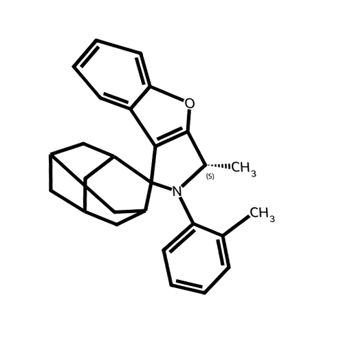 Cc1ccccc1N1[C@@H](C)c2oc3ccccc3c2C12C1CC3CC(C1)CC2C3